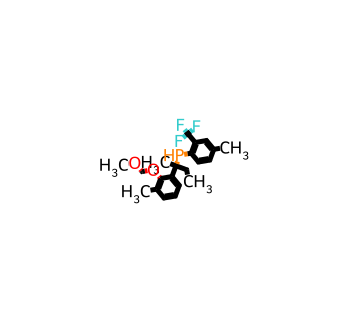 CCC(C)(Pc1ccc(C)cc1C(F)(F)F)c1cccc(C)c1OCOC